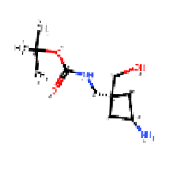 CC(C)(C)OC(=O)NC[C@]1(CO)C[C@@H](N)C1